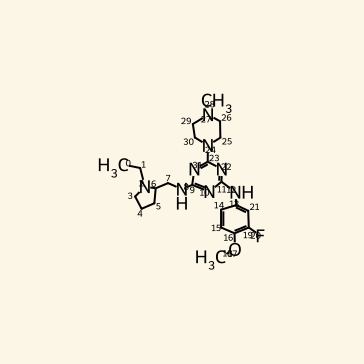 CCN1CCCC1CNc1nc(Nc2ccc(OC)c(F)c2)nc(N2CCN(C)CC2)n1